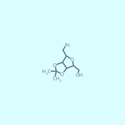 CC(=O)CC1OC(CO)C2OC(C)(C)OC12